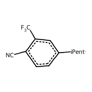 CCC[C](C)c1ccc(C#N)c(C(F)(F)F)c1